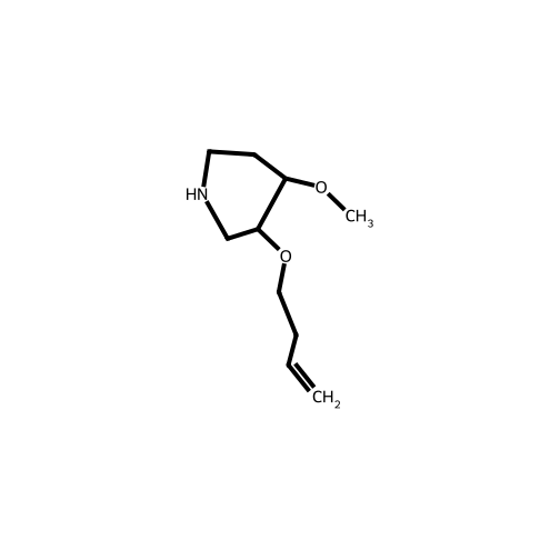 C=CCCOC1CNCCC1OC